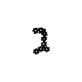 C=C(/C=C\C(=C)N(c1ccccc1)C1C=CC(c2ccccc2)=CC1)c1ccc(-c2ccc3oc4ccc(-c5ccccc5)cc4c3c2)cc1